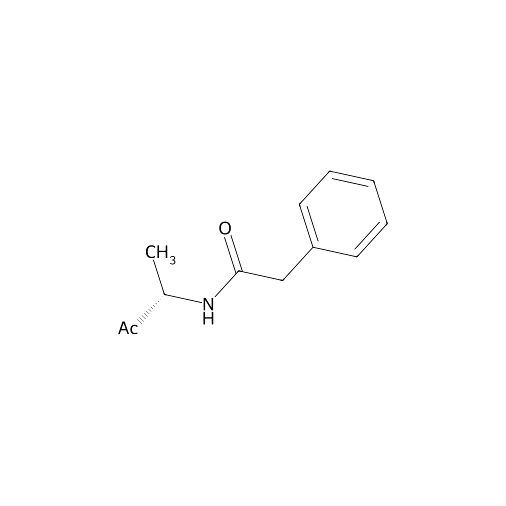 CC(=O)[C@H](C)NC(=O)Cc1ccccc1